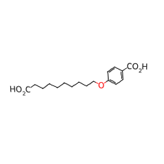 O=C(O)CCCCCCCCCOc1ccc(C(=O)O)cc1